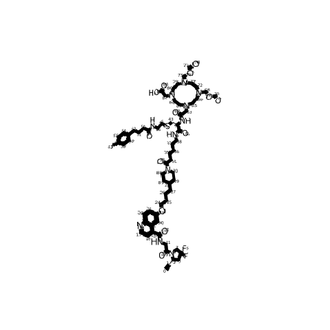 C#C[C@H]1CC(F)(F)CN1C(=O)CNC(=O)c1ccnc2ccc(OCCCCC3CCN(C(=O)CCCCCNC(=O)[C@H](CSCCNC(=O)CCCc4ccc(I)cc4)NC(=O)CN4CCN(COC=O)CCN(COC=O)CCN(CC(=O)O)CC4)CC3)cc12